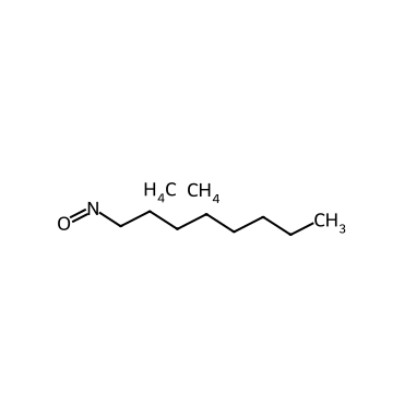 C.C.CCCCCCCCN=O